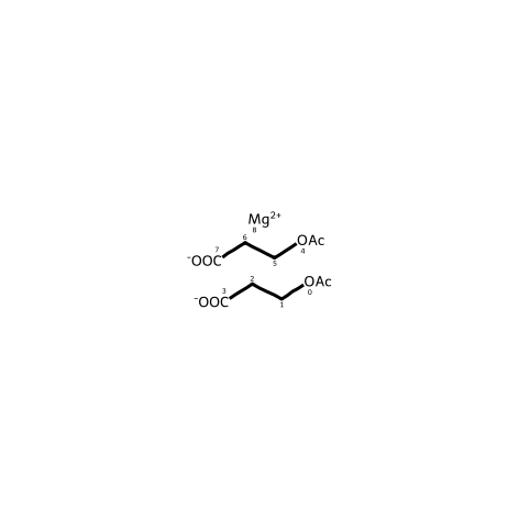 CC(=O)OCCC(=O)[O-].CC(=O)OCCC(=O)[O-].[Mg+2]